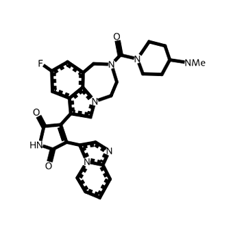 CNC1CCN(C(=O)N2CCn3cc(C4=C(c5cnc6ccccn56)C(=O)NC4=O)c4cc(F)cc(c43)C2)CC1